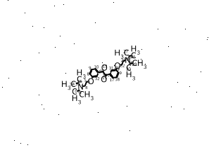 CC(C)N(CCOc1cccc(C(=O)C(=O)c2cccc(OCCN(C(C)C)C(C)C)c2)c1)C(C)C